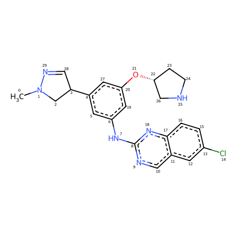 CN1CC(c2cc(Nc3ncc4cc(Cl)ccc4n3)cc(O[C@@H]3CCNC3)c2)C=N1